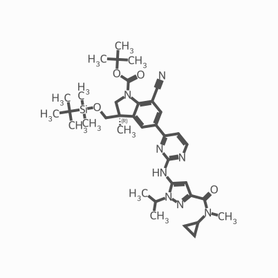 CC(C)n1nc(C(=O)N(C)C2CC2)cc1Nc1nccc(-c2cc(C#N)c3c(c2)[C@@](C)(CO[Si](C)(C)C(C)(C)C)CN3C(=O)OC(C)(C)C)n1